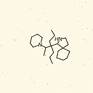 [CH2]C(N1CCCCC1)C(CCC)(CCC)C1NCCC12CCCCC2